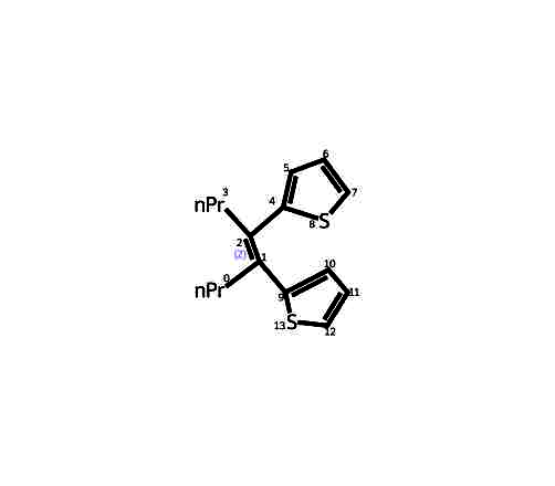 CCC/C(=C(\CCC)c1cccs1)c1cccs1